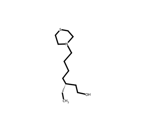 CC[C@@H](CCO)CCCCN1CCSCC1